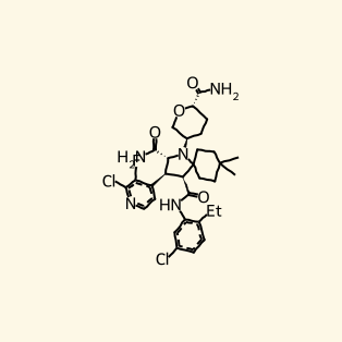 CCc1ccc(Cl)cc1NC(=O)[C@H]1[C@@H](c2ccnc(Cl)c2F)[C@H](C(N)=O)N([C@@H]2CC[C@@H](C(N)=O)OC2)C12CCC(C)(C)CC2